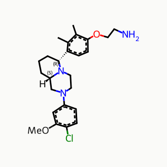 COc1cc(N2CCN3[C@@H](CCC[C@@H]3c3ccc(OCCN)c(C)c3C)C2)ccc1Cl